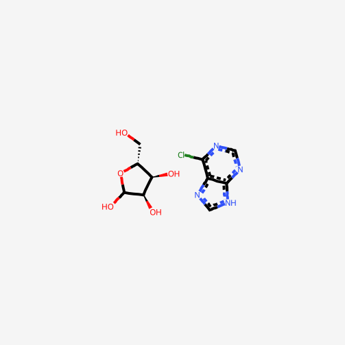 Clc1ncnc2[nH]cnc12.OC[C@H]1OC(O)[C@H](O)[C@@H]1O